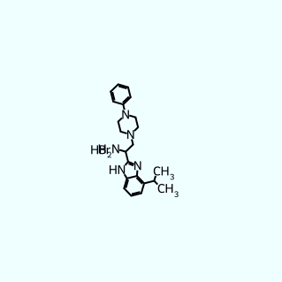 Br.CC(C)c1cccc2[nH]c(C(N)CN3CCN(c4ccccc4)CC3)nc12